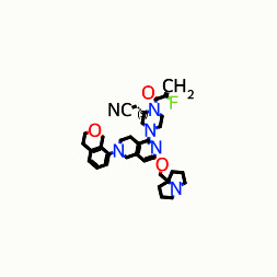 C=C(F)C(=O)N1CCN(c2nc(OCC34CCCN3CCC4)cc3c2CCN(c2cccc4c2COCC4)C3)C[C@@H]1CC#N